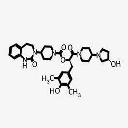 Cc1cc(C[C@@H](OC(=O)N2CCC(N3CCc4ccccc4NC3=O)CC2)C(=O)N2CCC(N3CC[C@H](O)C3)CC2)cc(C)c1O